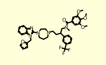 COc1cc(C(=O)N(C)CC(CCN2CCCN(c3nc4ccccc4n3Cc3ccco3)CC2)c2cccc(C(F)(F)F)c2)cc(OC)c1OC